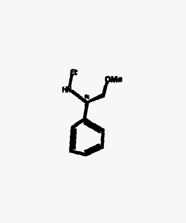 CCN[C@@H](COC)c1ccccc1